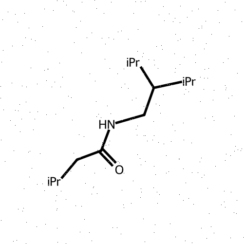 CC(C)CC(=O)NCC(C(C)C)C(C)C